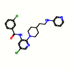 O=C(Nc1cc(Cl)cnc1N1CCC(CCNc2cccnc2)CC1)c1cccc(Cl)c1